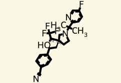 CC(C)(c1ccc(F)cn1)N1CC[C@](CCc2ccc(C#N)cc2)([C@@H](O)C(F)(F)F)C1